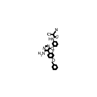 N#CC(Cl)C(=O)Nc1cccc(Oc2ncnc(N)c2-c2ccc(OCc3ccccc3)cc2F)c1